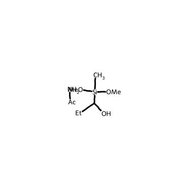 CC(N)=O.CCC(O)[Si](C)(OC)OC